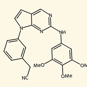 COc1cc(Nc2ncc3ccn(-c4cccc(CC#N)c4)c3n2)cc(OC)c1OC